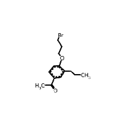 CCCc1cc(C(C)=O)ccc1OCCCBr